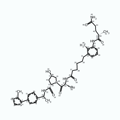 Cc1ncsc1-c1ccc([C@H](C)NC(=O)[C@@H]2C[C@@H](O)CN2C(=O)[C@@H](NC(=O)CCCCCc2cccc(NC(=O)[C@@H](C)CCC(N)=O)c2C)C(C)(C)C)cc1